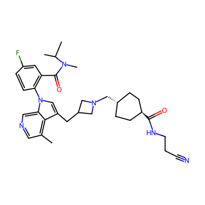 Cc1cncc2c1c(CC1CN(C[C@H]3CC[C@H](C(=O)NCCC#N)CC3)C1)cn2-c1ccc(F)cc1C(=O)N(C)C(C)C